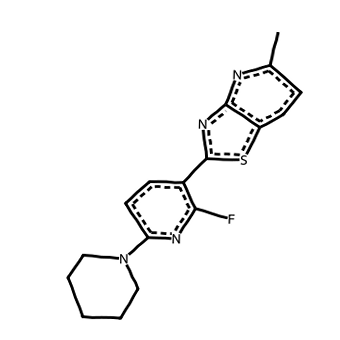 Cc1ccc2sc(-c3ccc(N4CCCCC4)nc3F)nc2n1